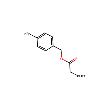 CCCCCCCCCC(=O)OCc1ccc(CCC)cc1